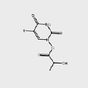 CC(O)C(=O)On1cc(F)c(=O)[nH]c1=O